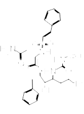 CC(C)CCC(NC(=O)NC(C)(C)C)[C@H](O)[C@H](Cc1ccccc1)NC(=O)[C@H](CC(N)=O)NS(=O)(=O)/C=C/c1ccccc1